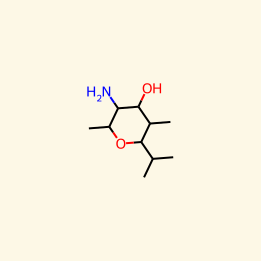 CC(C)C1OC(C)C(N)C(O)C1C